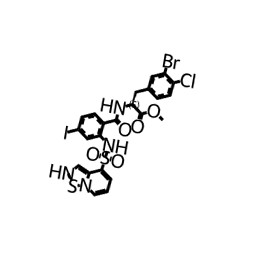 COC(=O)[C@H](Cc1ccc(Cl)c(Br)c1)NC(=O)c1ccc(I)cc1NS(=O)(=O)C1=CC=CN2SNC=C12